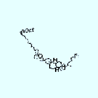 CCCCCCCC/C=C\CCCCCCCCOC(=O)OO[C@H]1CC[C@@]2(C)C(=CC[C@H]3[C@@H]4CC[C@H]([C@H](C)CCCC(C)C)[C@@]4(C)CC[C@@H]32)C1